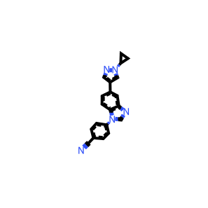 N#Cc1ccc(-n2cnc3cc(-c4cnn(C5CC5)c4)ccc32)cc1